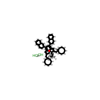 CCCC1(CC2=Cc3c(-c4ccc5ccccc5c4)cccc3[CH]2[Zr]([CH3])([CH3])(=[SiH2])[CH]2C(CC3(CCC)CCCCCCC3)=Cc3c(-c4ccc5ccccc5c4)cccc32)CCCCCCC1.Cl.Cl